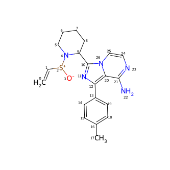 C=C[S+]([O-])N1CCCCC1c1nc(-c2ccc(C)cc2)c2c(N)nccn12